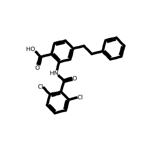 O=C(O)c1ccc(CCc2ccccc2)cc1NC(=O)c1c(Cl)cccc1Cl